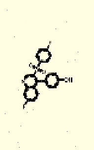 O=S(=O)(c1ccc(F)cc1)c1cnc2cc(F)ccc2c1-c1ccc(O)cc1